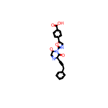 O=C(O)c1ccc(-c2cnc(N3C(=O)C=NC(C#CCc4ccccc4)C3=O)o2)cc1